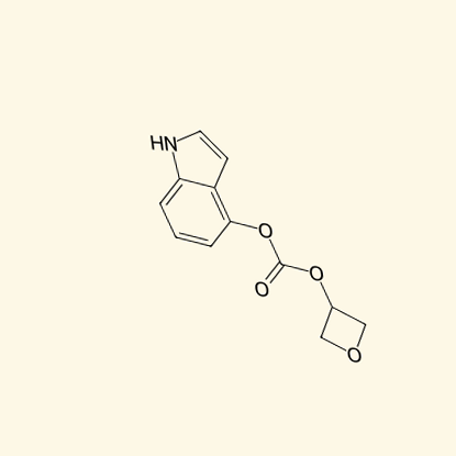 O=C(Oc1cccc2[nH]ccc12)OC1COC1